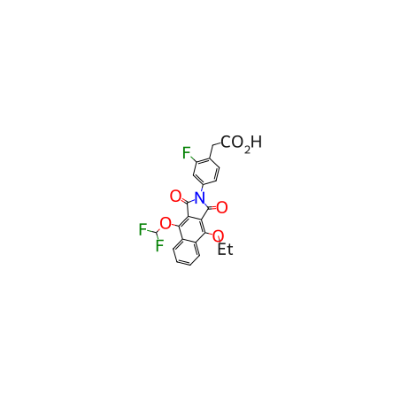 CCOc1c2c(c(OC(F)F)c3ccccc13)C(=O)N(c1ccc(CC(=O)O)c(F)c1)C2=O